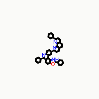 c1ccc(-c2ccc3ccc4ccc(-c5ccc6nc(-c7ccccc7)c7ccc8c(c7c6c5)NC(c5ccccc5)O8)nc4c3n2)cc1